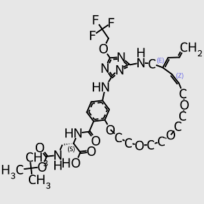 C=C/C=C1\C=C/COCCOCCOCCOc2cc(ccc2C(=O)N[C@@H](CNC(=O)OC(C)(C)C)C(=O)O)Nc2nc(nc(OCC(F)(F)F)n2)NC1